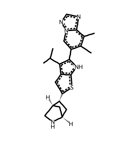 Cc1c(-c2[nH]c3sc([C@@H]4C[C@@H]5C[C@H]4CN5)cc3c2C(C)C)cn2ncnc2c1C